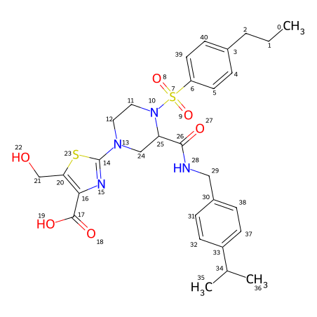 CCCc1ccc(S(=O)(=O)N2CCN(c3nc(C(=O)O)c(CO)s3)CC2C(=O)NCc2ccc(C(C)C)cc2)cc1